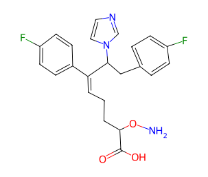 NOC(CCC=C(c1ccc(F)cc1)C(Cc1ccc(F)cc1)n1ccnc1)C(=O)O